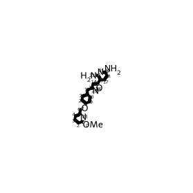 COc1cccc(COc2ccc(Cc3cc(-c4ccc(N)nc4N)on3)cc2)n1